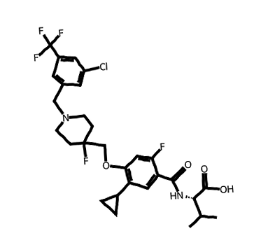 CC(C)[C@H](NC(=O)c1cc(C2CC2)c(OCC2(F)CCN(Cc3cc(Cl)cc(C(F)(F)F)c3)CC2)cc1F)C(=O)O